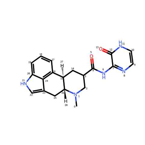 CN1CC(C(=O)Nc2ncc[nH]c2=O)C[C@@H]2c3cccc4[nH]cc(c34)C[C@H]21